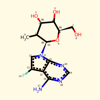 CC1[C@@H](O)C(O)[C@@H](CO)O[C@H]1n1cc(F)c2c(N)ncnc21